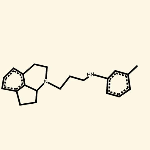 Cc1cccc(NCCCN2CCc3cccc4c3C2CC4)c1